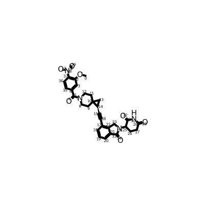 COc1cc(C(=O)N2CCC3(CC2)C[C@H]3C#Cc2cccc3c2CN(C2CCC(=O)NC2=O)C3=O)ccc1[N+](=O)[O-]